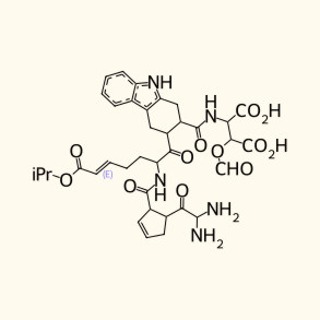 CC(C)OC(=O)/C=C/CCC(NC(=O)C1C=CCC1C(=O)C(N)N)C(=O)C1Cc2c([nH]c3ccccc23)CC1C(=O)NC(C(=O)O)C(OC=O)C(=O)O